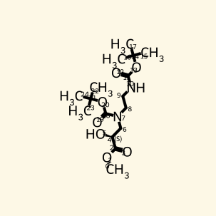 COC(=O)[C@@H](O)CN(CCNC(=O)OC(C)(C)C)C(=O)OC(C)(C)C